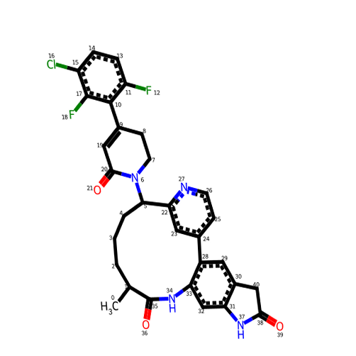 CC1CCCC(N2CCC(c3c(F)ccc(Cl)c3F)=CC2=O)c2cc(ccn2)-c2cc3c(cc2NC1=O)NC(=O)C3